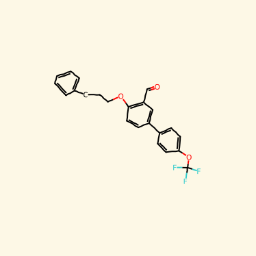 O=Cc1cc(-c2ccc(OC(F)(F)F)cc2)ccc1OCCCc1ccccc1